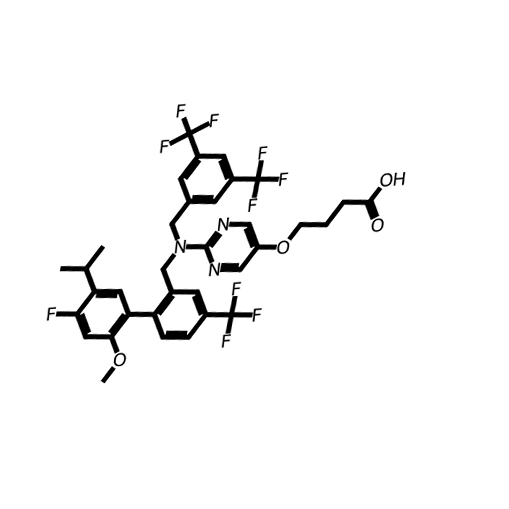 COc1cc(F)c(C(C)C)cc1-c1ccc(C(F)(F)F)cc1CN(Cc1cc(C(F)(F)F)cc(C(F)(F)F)c1)c1ncc(OCCCC(=O)O)cn1